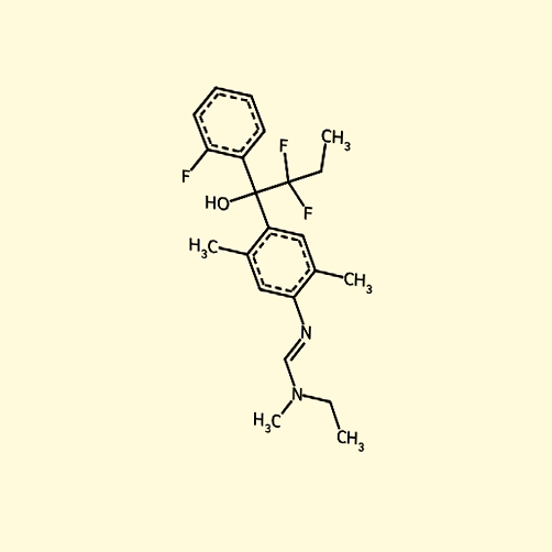 CCN(C)/C=N/c1cc(C)c(C(O)(c2ccccc2F)C(F)(F)CC)cc1C